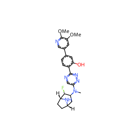 COc1cc(-c2ccc(-c3ncc(N(C)[C@H]4C[C@@H]5CC[C@@H](N5)[C@H]4F)nn3)c(O)c2)cnc1OC